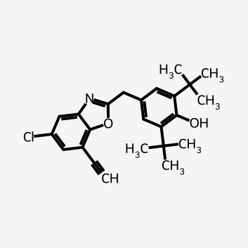 C#Cc1cc(Cl)cc2nc(Cc3cc(C(C)(C)C)c(O)c(C(C)(C)C)c3)oc12